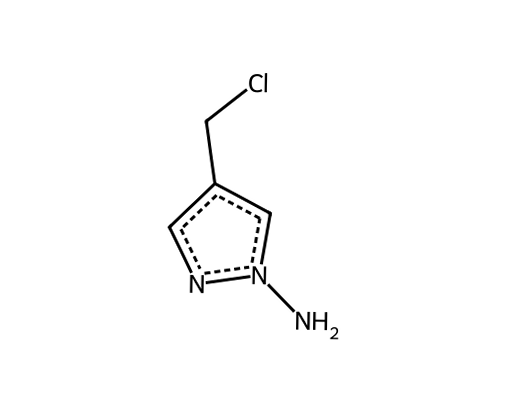 Nn1cc(CCl)cn1